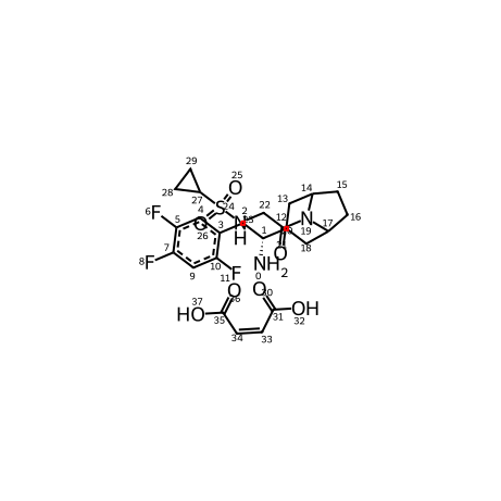 N[C@H](Cc1cc(F)c(F)cc1F)C1CC2CCC(C1)N2C(=O)CNS(=O)(=O)C1CC1.O=C(O)/C=C\C(=O)O